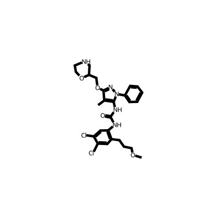 COCCCc1cc(Cl)c(Cl)cc1NC(=O)Nc1c(C)c(OCC2CNCCO2)nn1-c1ccccc1